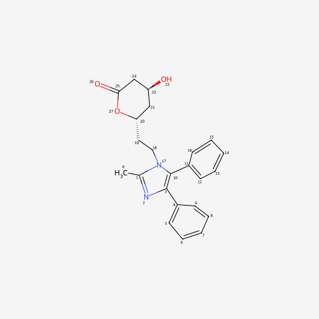 Cc1nc(-c2ccccc2)c(-c2ccccc2)n1CC[C@H]1C[C@H](O)CC(=O)O1